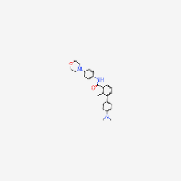 Cc1c(C(=O)Nc2ccc(N3CCOCC3)cc2)cccc1-c1ccc(N(C)C)cc1